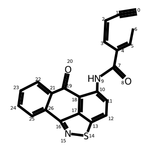 C#C/C=C\C(=C/C)C(=O)Nc1ccc2snc3c2c1C(=O)c1ccccc1-3